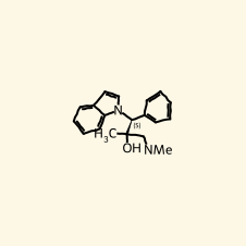 CNCC(C)(O)[C@H](c1ccccc1)n1ccc2ccccc21